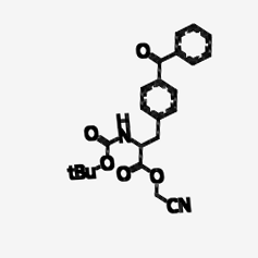 CC(C)(C)OC(=O)NC(Cc1ccc(C(=O)c2ccccc2)cc1)C(=O)OCC#N